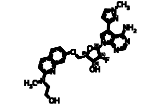 CN(CCO)c1ccc2ccc(OC[C@H]3O[C@@H](n4cc(-c5ccn(C)n5)c5c(N)ncnc54)[C@@H](F)[C@@H]3O)cc2n1